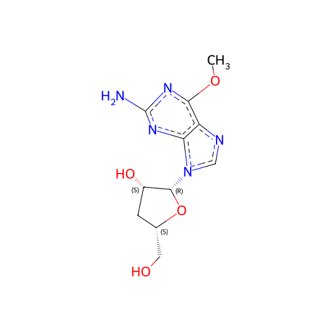 COc1nc(N)nc2c1ncn2[C@@H]1O[C@H](CO)C[C@@H]1O